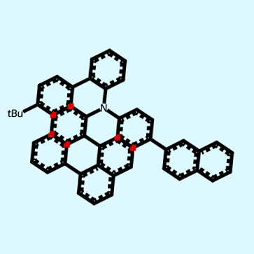 CC(C)(C)c1ccc(-c2ccccc2N(c2ccc(-c3ccc4ccccc4c3)cc2)c2ccccc2-c2cccc3cccc(-c4ccccc4)c23)cc1